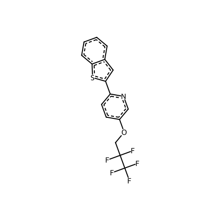 FC(F)(F)C(F)(F)COc1ccc(-c2cc3ccccc3s2)nc1